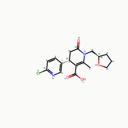 CC1=C(C(=O)O)[C@H](c2ccc(Cl)nc2)CC(=O)N1C[C@H]1CCCO1